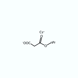 CCCOC(=O)CC(=O)[O-].[Cs+]